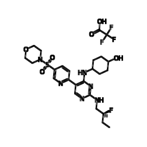 CC[C@H](F)CNc1ncc(-c2ccc(S(=O)(=O)N3CCOCC3)cn2)c(NC2CCC(O)CC2)n1.O=C(O)C(F)(F)F